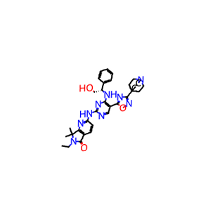 CCN1C(=O)c2ccc(Nc3ncc(-c4nc(C56CCN(CC5)CC6)no4)c(N[C@H](CO)c4ccccc4)n3)nc2C1(C)C